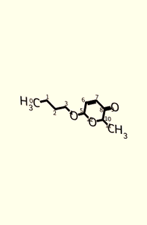 CCCCOC1C=CC(=O)C(C)O1